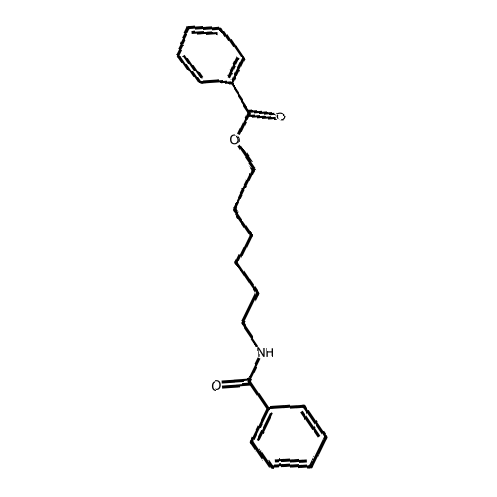 O=C(NCCCCCCOC(=O)c1ccccc1)c1ccccc1